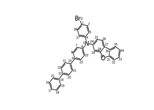 Brc1ccc(N(c2ccc(-c3ccc(-c4ccccc4)cc3)cc2)c2ccc3c(c2)oc2ccccc23)cc1